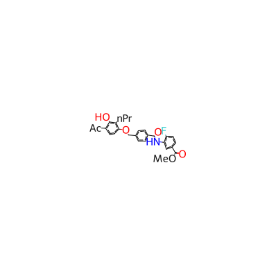 CCCc1c(OCc2ccc(C(=O)Nc3cc(C(=O)OC)ccc3F)cc2)ccc(C(C)=O)c1O